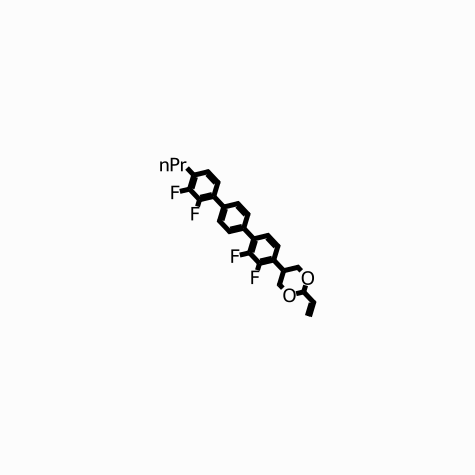 C=CC1OCC(c2ccc(-c3ccc(-c4ccc(CCC)c(F)c4F)cc3)c(F)c2F)CO1